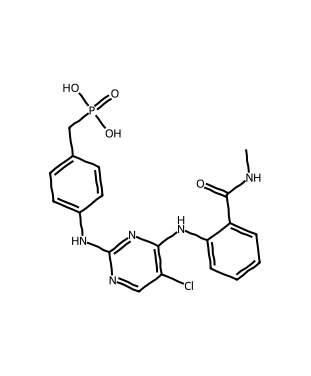 CNC(=O)c1ccccc1Nc1nc(Nc2ccc(CP(=O)(O)O)cc2)ncc1Cl